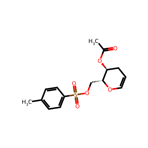 CC(=O)O[C@H]1CC=CO[C@@H]1COS(=O)(=O)c1ccc(C)cc1